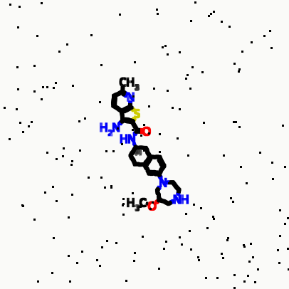 COC1CNCCN(c2ccc3c(c2)CC[C@@H](NC(=O)c2sc4nc(C)ccc4c2N)C3)C1